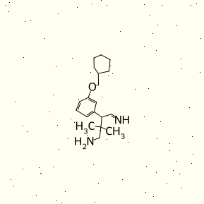 CC(C)(CN)C(C=N)c1cccc(OCC2CCCCC2)c1